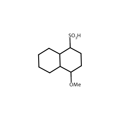 COC1CCC(S(=O)(=O)O)C2CCCCC12